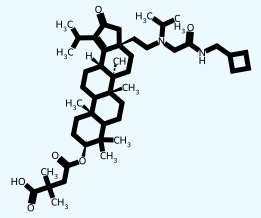 CC(C)C1=C2[C@H]3CCC4[C@@]5(C)CC[C@H](OC(=O)CC(C)(C)C(=O)O)C(C)(C)C5CC[C@@]4(C)[C@]3(C)CC[C@@]2(CCN(CC(=O)NCC2CCC2)C(C)C)CC1=O